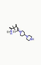 C=C(/C=C(\CC)N1CCC(N2CCNCC2)CC1)C(C)(C)C(=C)NCC